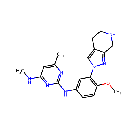 CNc1cc(C)nc(Nc2ccc(OC)c(-n3cc4c(n3)CNCC4)c2)n1